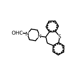 O=CN1CCN(C2Cc3ccccc3Sc3ccccc32)CC1